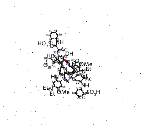 CCN(CC)c1cc(Nc2nc(Nc3cc(N(CC)CC)c(OC)cc3/N=N/c3nc(N4CCOCC4)c(/C=C(\C(C)=O)C(=O)Nc4ccccc4S(=O)(=O)O)s3)nc(N(CCO)CCO)n2)c(/N=N/c2nc(N3CCOCC3)c(C=C(C(C)=O)C(=O)Nc3ccccc3S(=O)(=O)O)s2)cc1OC